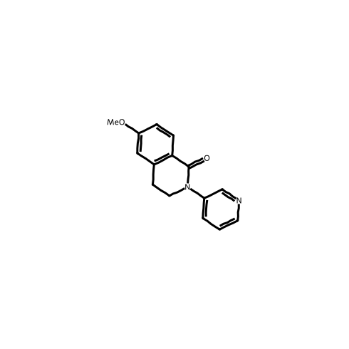 COc1ccc2c(c1)CCN(c1cccnc1)C2=O